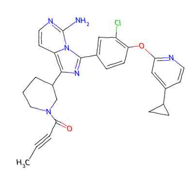 CC#CC(=O)N1CCCC(c2nc(-c3ccc(Oc4cc(C5CC5)ccn4)c(Cl)c3)n3c(N)nccc23)C1